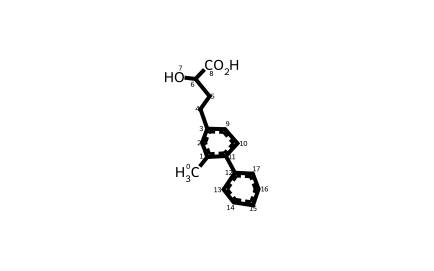 Cc1cc(CCC(O)C(=O)O)ccc1-c1ccccc1